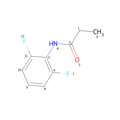 CCC(=O)Nc1c(F)cccc1F